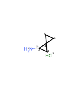 Cl.N[C@H]1CC12CC2